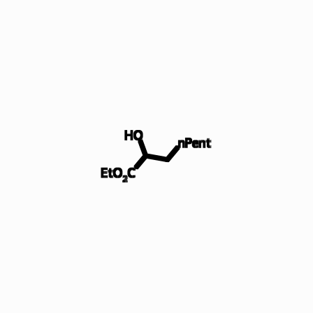 CCCCCCC(O)C(=O)OCC